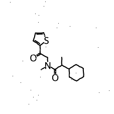 CC(C(=O)N(C)CC(=O)c1cccs1)C1CCCCC1